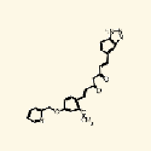 COc1cc(OCc2ccccn2)ccc1C=CC(=O)CC(=O)C=Cc1ccc2[nH]nnc2c1